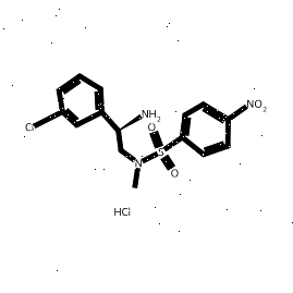 CN(C[C@H](N)c1cccc(Cl)c1)S(=O)(=O)c1ccc([N+](=O)[O-])cc1.Cl